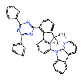 CC1(C)c2cccc(-c3nc(-c4ccccc4)nc(-c4ccccc4)n3)c2-c2cccc(-n3c4ccccc4c4cccnc43)c21